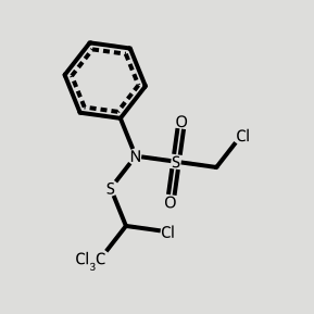 O=S(=O)(CCl)N(SC(Cl)C(Cl)(Cl)Cl)c1ccccc1